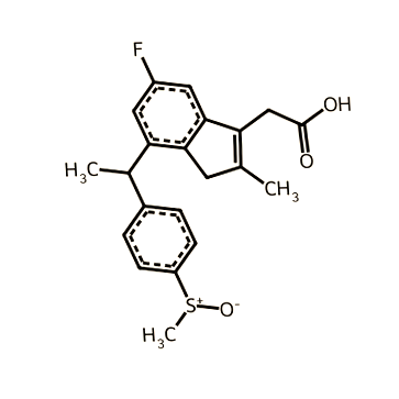 CC1=C(CC(=O)O)c2cc(F)cc(C(C)c3ccc([S+](C)[O-])cc3)c2C1